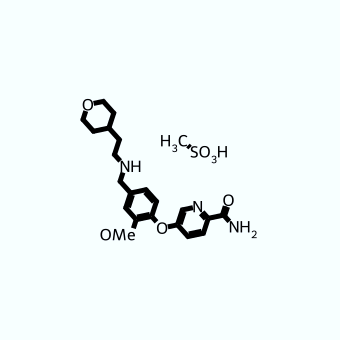 COc1cc(CNCCC2CCOCC2)ccc1Oc1ccc(C(N)=O)nc1.CS(=O)(=O)O